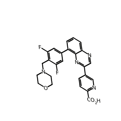 O=C(O)c1ccc(-c2cnc3cccc(-c4cc(F)c(CN5CCOCC5)c(F)c4)c3n2)cn1